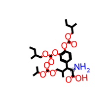 CCC(C)COC(=O)Oc1ccc(C(C(C)COC(=O)OC(C)C)[C@H](N)C(=O)O)cc1OC(=O)OCC(C)CC